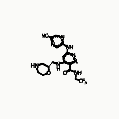 N#Cc1cnc(Nc2cc(NC[C@H]3CNCCO3)c(C(=O)NCC(F)(F)F)nn2)cn1